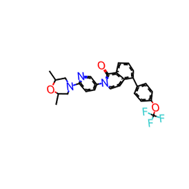 CC1CN(c2ccc(-n3ccc4c(-c5ccc(OC(F)(F)F)cc5)cccc4c3=O)cn2)CC(C)O1